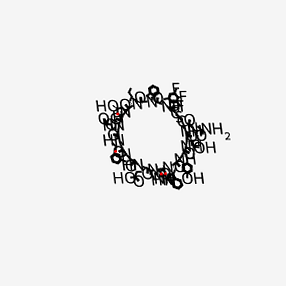 CCCC[C@H]1C(=O)N2C[C@H](O)C[C@@H]2C(=O)N[C@@H](COC=O)C(=O)N[C@@H](C(C)C)C(=O)N(C)[C@@H](Cc2ccccc2)C(=O)N[C@@H](CCC(=O)O)C(=O)N2CCNC[C@@H]2C(=O)N[C@@H](Cc2c[nH]c3ccccc23)C(=O)N[C@@H](Cc2ccc(O)cc2)C(=O)N[C@@H](CCO)C(=O)N[C@H](C(=O)NCC(N)=O)CSCC(=O)N[C@@H](Cc2cc(F)c(F)c(F)c2)C(=O)N(C)[C@@H](Cc2ccccc2)C(=O)N1C